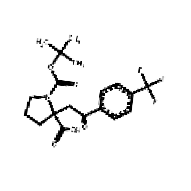 CC(C)(C)OC(=O)N1CCCC1(CC(=O)c1ccc(C(F)(F)F)cc1)C(=O)O